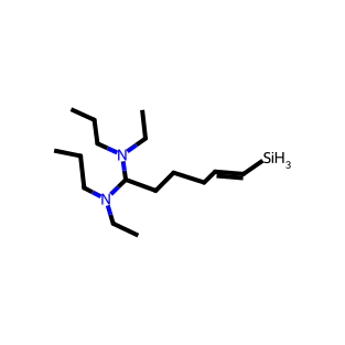 CCCN(CC)C(CCCC=C[SiH3])N(CC)CCC